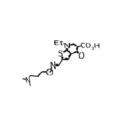 CCn1cc(C(=O)O)c(=O)c2cc(C=NOCCCN(C)C)sc21